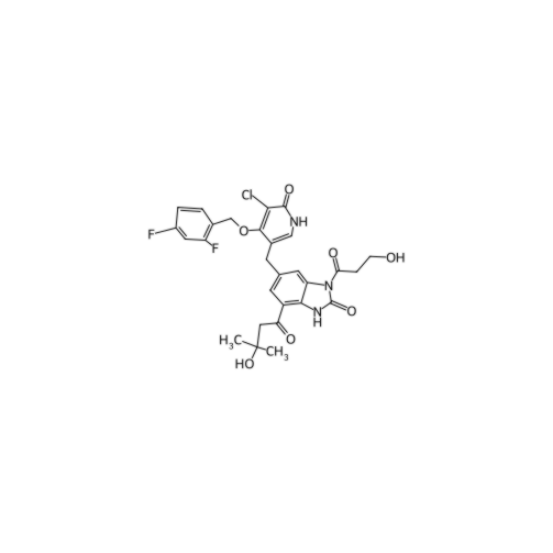 CC(C)(O)CC(=O)c1cc(Cc2c[nH]c(=O)c(Cl)c2OCc2ccc(F)cc2F)cc2c1[nH]c(=O)n2C(=O)CCO